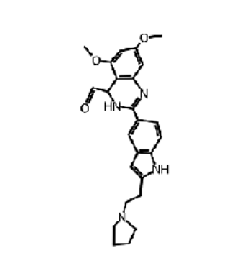 COc1cc2c(c(OC)c1)C(C=O)NC(c1ccc3[nH]c(CCN4CCCC4)cc3c1)=N2